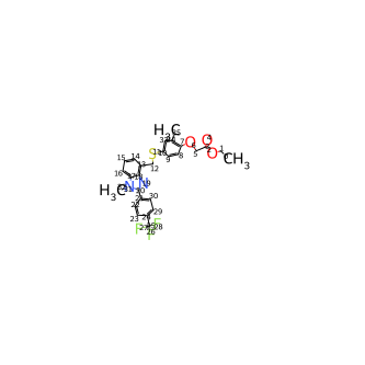 CCOC(=O)COc1ccc(SCc2cccc3c2nc(-c2ccc(C(F)(F)F)cc2)n3C)cc1C